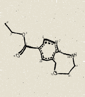 CCOC(=O)c1cnc2c(c1)OCCN2